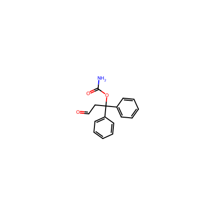 NC(=O)OC(CC=O)(c1ccccc1)c1ccccc1